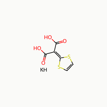 O=C(O)C(C(=O)O)=C1SC=CS1.[KH]